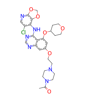 CC(=O)N1CCN(CCOc2cc(OC3CCOCC3)c3c(Nc4c(Cl)cnc5c4OCO5)ncnc3c2)CC1